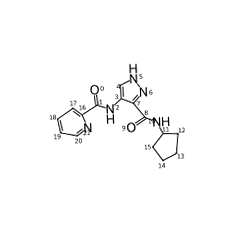 O=C(Nc1c[nH]nc1C(=O)NC1CCCC1)c1ccccn1